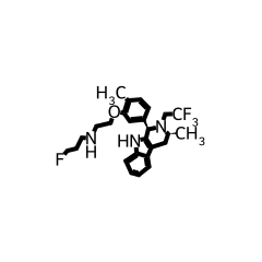 Cc1ccc([C@@H]2c3[nH]c4ccccc4c3C[C@@H](C)N2CC(F)(F)F)cc1OCCNCCCF